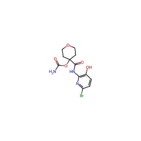 NC(=O)OC1(C(=O)Nc2nc(Br)ccc2O)CCOCC1